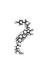 CC(=C[C@@]12CC[C@]3(C)[C@H](CC[C@@H]4[C@@]5(C)CC[C@H](OC(=O)CC(C)(C)C(=O)OC(C)(C)C)C(C)(C)[C@@H]5CC[C@]43C)C1=C(C(C)C)C(=O)C2)C(=O)NC1(c2ncc(Cl)cn2)CC1